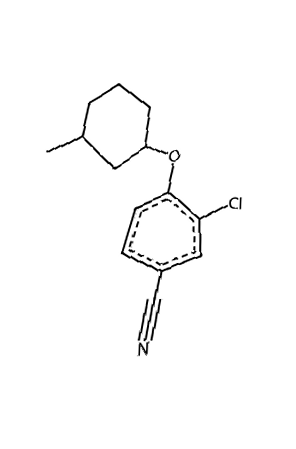 CC1CCCC(Oc2ccc(C#N)cc2Cl)C1